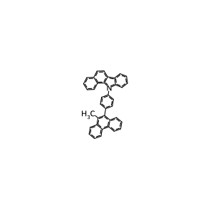 Cc1c(-c2ccc(-n3c4ccccc4c4ccc5ccccc5c43)cc2)c2ccccc2c2ccccc12